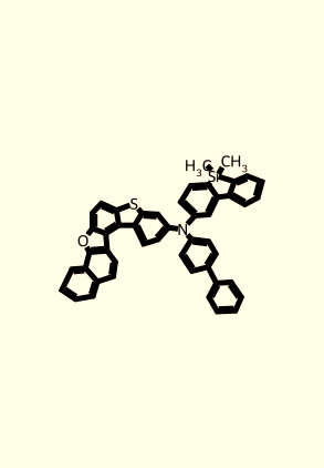 C[Si]1(C)c2ccccc2-c2cc(N(c3ccc(-c4ccccc4)cc3)c3ccc4c(c3)sc3ccc5oc6c7ccccc7ccc6c5c34)ccc21